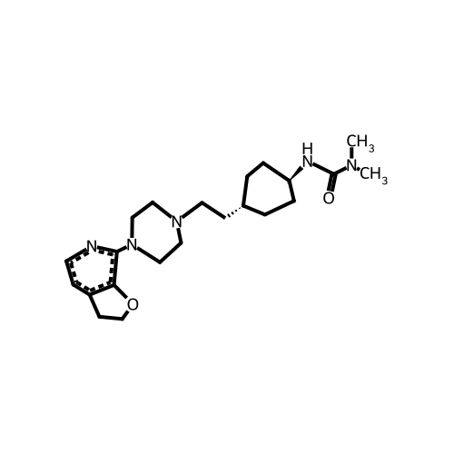 CN(C)C(=O)N[C@H]1CC[C@H](CCN2CCN(c3nccc4c3OCC4)CC2)CC1